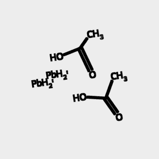 CC(=O)O.CC(=O)O.[PbH2].[PbH2]